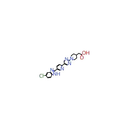 O=C(O)CC1CCN(c2ncc(-c3ccc(-c4nc5cc(Cl)ccc5[nH]4)cn3)cn2)CC1